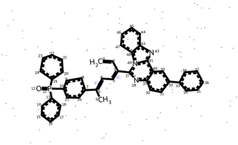 C=C/C(=C\C=C(/C)c1ccc(P(=O)(c2ccccc2)c2ccccc2)cc1)c1nc2ccc(-c3ccccc3)cc2c2nc3ccccc3n12